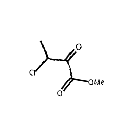 COC(=O)C(=O)C(C)Cl